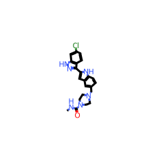 CNC(=O)N1CCN(Cc2ccc3[nH]c(-c4n[nH]c5cc(Cl)ccc45)cc3c2)CC1